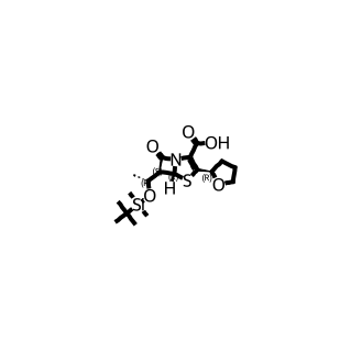 C[C@@H](O[Si](C)(C)C(C)(C)C)[C@H]1C(=O)N2C(C(=O)O)=C([C@H]3CCCO3)S[C@H]12